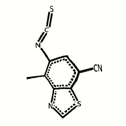 Cc1c(N=C=S)cc(C#N)c2scnc12